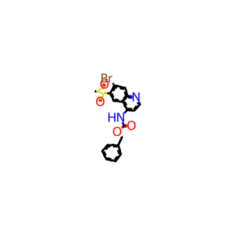 CS(=O)(=O)c1cc2c(NC(=O)OCc3ccccc3)ccnc2cc1Br